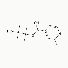 Cc1cc(B(O)OC(C)(C)C(C)(C)O)ccn1